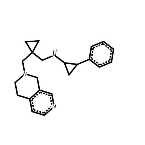 c1ccc(C2CC2NCC2(CN3CCc4ccncc4C3)CC2)cc1